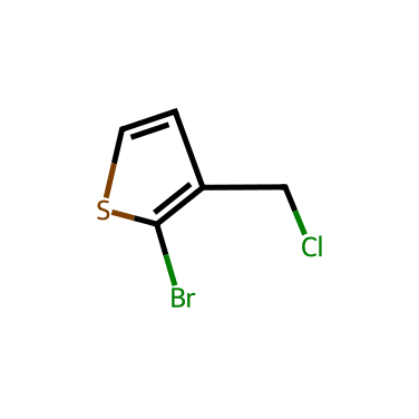 ClCc1ccsc1Br